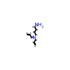 C=CCN(CC=C)CCCCN